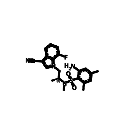 Cc1cc(C)c(S(=O)(=O)N(C)[C@@H](C)Cn2cc(C#N)c3cccc(F)c32)c(N)c1